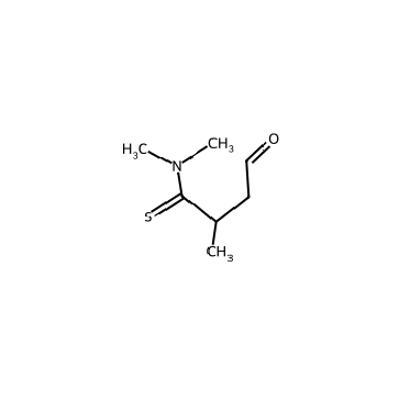 CC(CC=O)C(=S)N(C)C